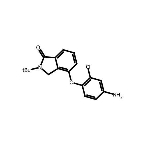 CC(C)(C)N1Cc2c(Oc3ccc(N)cc3Cl)cccc2C1=O